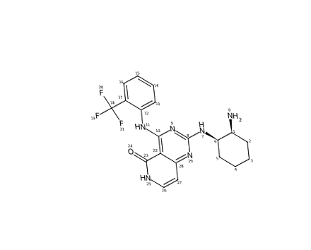 N[C@H]1CCCC[C@H]1Nc1nc(Nc2ccccc2C(F)(F)F)c2c(=O)[nH]ccc2n1